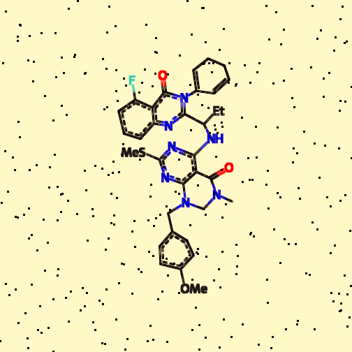 CCC(Nc1nc(SC)nc2c1C(=O)N(C)CN2Cc1ccc(OC)cc1)c1nc2cccc(F)c2c(=O)n1C1=CCCC=C1